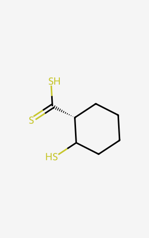 S=C(S)[C@@H]1CCCCC1S